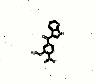 COc1cc(C(=O)c2c[nH]c3ncccc23)ccc1[N+](=O)[O-]